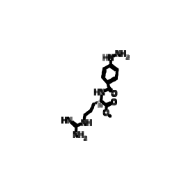 COC(=O)[C@H](CCCNC(=N)N)NC(=O)c1ccc(NN)cc1